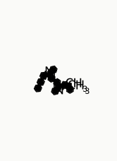 CC1(C)c2ccccc2-c2cc(-n3c4ccc(-c5ccc6c(c5)n5c7ccccc7nc5n6-c5cccc(-c6ccc(-c7ccccc7)cc6)c5)cc4n4c5ccccc5nc34)ccc21